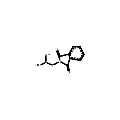 CCCCN(CCCC)SN1C(=O)c2ccccc2C1=O